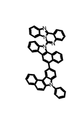 c1ccc(-n2c3ccc(-c4cc5c6ccccc6n(-c6nc7ccccc7c7nc8ccccc8n67)c5c5ccccc45)cc3c3c4ccccc4ccc32)cc1